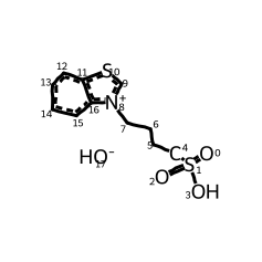 O=S(=O)(O)CCCC[n+]1csc2ccccc21.[OH-]